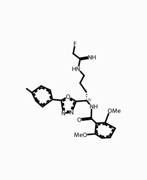 COc1cccc(OC)c1C(=O)N[C@@H](CCCNC(=N)CF)c1nnc(-c2ccc(C)cc2)o1